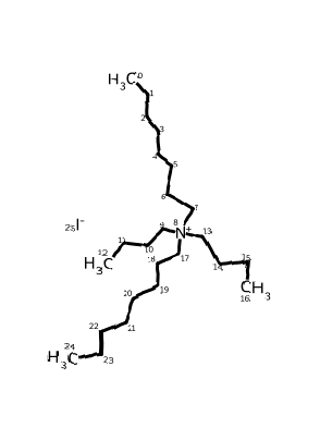 CCCCCCCC[N+](CCCC)(CCCC)CCCCCCCC.[I-]